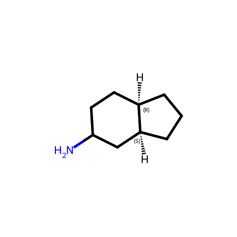 NC1CC[C@H]2CCC[C@H]2C1